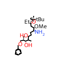 CCC(C[C@H](OC)[C@@H](N)CCC(O)C(C)[C@H](O)[C@H](C)COCc1ccccc1)O[Si](C)(C)C(C)(C)C